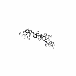 CC(C)Cc1c(F)cnc2nc(Cn3cccc(NC(=O)[C@@H](CC/C=C/C(=O)N(C)C)CN(C)C(=O)O)c3=O)[nH]c12